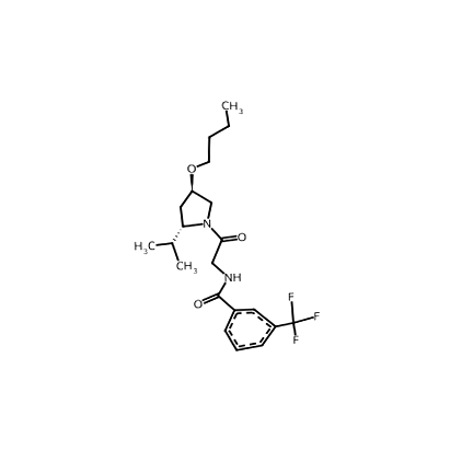 CCCCO[C@@H]1C[C@@H](C(C)C)N(C(=O)CNC(=O)c2cccc(C(F)(F)F)c2)C1